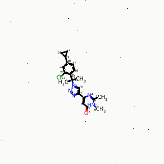 CN/C(C)=N\C(=C/C=O)c1cn(C(C)(C)c2ccc(C3CC3)cc2Cl)nn1